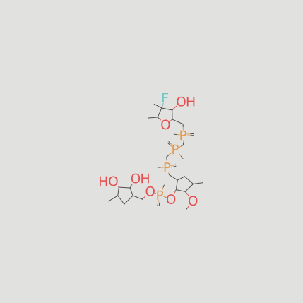 C=P(C)(CC1CC(C)C(OC)C1OP(=C)(C)OCC1CC(C)C(O)C1O)CP(=C)(C)CP(=C)(C)CC1OC(C)C(C)(F)C1O